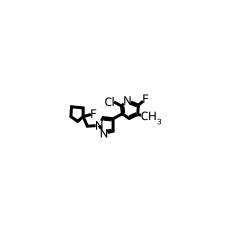 Cc1cc(-c2cnn(CC3(F)CCCC3)c2)c(Cl)nc1F